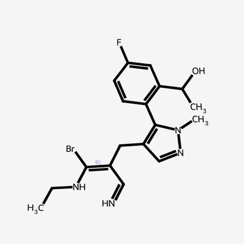 CCN/C(Br)=C(\C=N)Cc1cnn(C)c1-c1ccc(F)cc1C(C)O